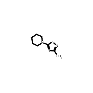 Cc1nsc(N2CC[CH]CC2)n1